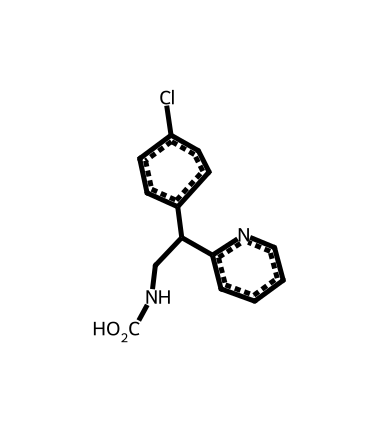 O=C(O)NCC(c1ccc(Cl)cc1)c1ccccn1